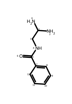 NC(N)CNC(=O)c1ccccc1